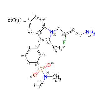 CCOC(=O)c1ccc2c(c1)c(-c1cccc(S(=O)(=O)N(C)C)c1)c(C)n2C/C(F)=C/CN